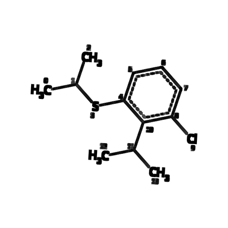 CC(C)Sc1cccc(Cl)c1C(C)C